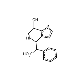 O=C(O)C(c1ccccc1)C1NCC(O)c2sccc21